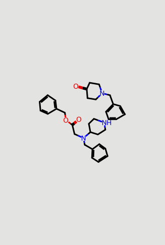 O=C(CN(Cc1ccccc1)C1CCNCC1)OCc1ccccc1.O=C1CCN(Cc2ccccc2)CC1